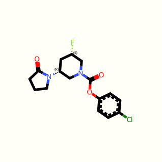 O=C(Oc1ccc(Cl)cc1)N1C[C@@H](F)C[C@@H](N2CCCC2=O)C1